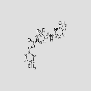 Cc1ccc(COC(=O)N2CCC(CNc3cccc(C)n3)C(F)(F)C2)cc1